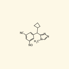 Cn1cnnc1C(c1cc(C#N)cc(N=O)c1)C1CCC1